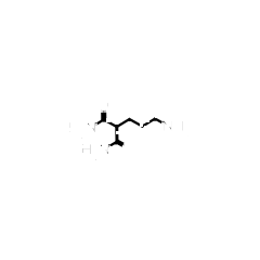 NCCCC(C(N)=O)C(N)=O